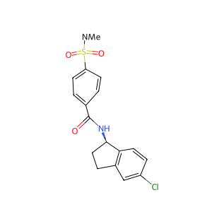 CNS(=O)(=O)c1ccc(C(=O)N[C@@H]2CCc3cc(Cl)ccc32)cc1